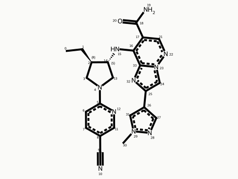 CC[C@@H]1CN(c2ccc(C#N)cn2)C[C@H]1Nc1c(C(N)=O)cnn2cc(-c3cnn(C)c3)nc12